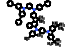 Cc1ccc(N(c2ccc(-n3c4ccc(C(C)(C)C)cc4c4cc(C(C)(C)C)ccc43)cc2)c2cc3c(c4ccccc24)-c2ccc(N(c4ccc(-c5ccccc5)cc4)c4cccc(-n5c6ccc(-c7ccccc7)cc6c6cc(-c7ccccc7)ccc65)c4)cc2C3(C)C)c(C)c1